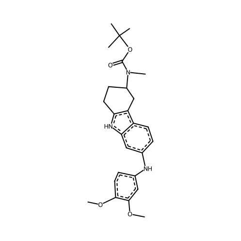 COc1ccc(Nc2ccc3c4c([nH]c3c2)CCC(N(C)C(=O)OC(C)(C)C)C4)cc1OC